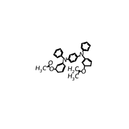 C=C(C)OC1C=C(N(c2ccccc2)c2ccc(N(C3=CC(OC(C)=O)CC=C3)c3ccccc3)cc2)C=CC1